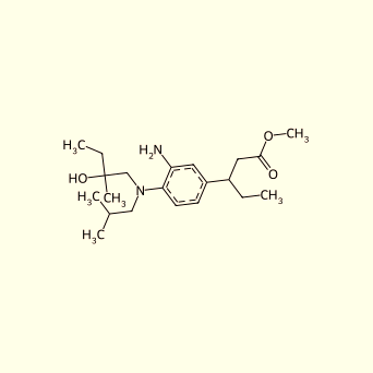 CCC(CC(=O)OC)c1ccc(N(CC(C)C)CC(C)(O)CC)c(N)c1